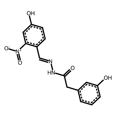 O=C(Cc1cccc(O)c1)N/N=C/c1ccc(O)cc1[N+](=O)[O-]